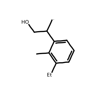 [CH2]C(CO)c1cccc(CC)c1C